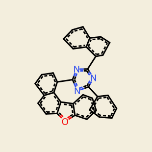 c1ccc(-c2nc(-c3cccc4ccccc34)nc(-c3cccc4ccc5oc6ccccc6c5c34)n2)cc1